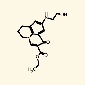 CCOC(=O)c1cn2c3c(cc(NCCO)cc3c1=O)CCC2